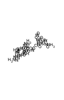 CC(C)[C@H](NC(=O)CCN1C(=O)C=CC1=O)C(=O)N[C@@H](CCCNC(N)=O)C(=O)Nc1ccc(COC(=O)N(C)CCOC(=O)O[C@@H]2[C@@H]3O[P@](=O)(S)OC[C@H]4O[C@@H](n5cnc6c(N)ncnc65)[C@H](F)[C@@H]4O[P@](=O)(S)OC[C@H]3O[C@H]2n2cnc3c(N)ncnc32)cc1